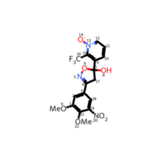 COc1cc(C2=NOC(O)(c3ccc[n+]([O-])c3C(F)(F)F)C2)cc([N+](=O)[O-])c1OC